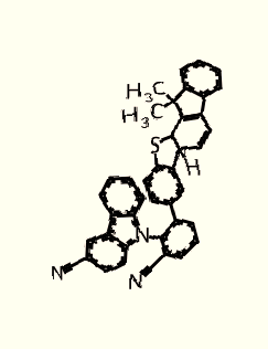 CC1(C)C2=C(C=C[C@@H]3c4cc(-c5cccc(C#N)c5-n5c6ccccc6c6cc(C#N)ccc65)ccc4SC23)c2ccccc21